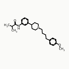 COc1ccc(CCCCN2CCC(c3cccc(NC(=O)C(C)C)c3)CC2)cc1